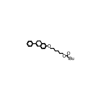 CCC(C)C(=O)OCCCCCCOc1ccc2c(c1)CCC(c1ccccc1)=C2